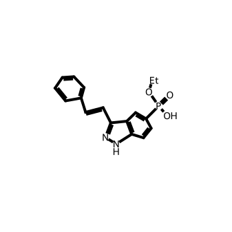 CCOP(=O)(O)c1ccc2[nH]nc(/C=C/c3ccccc3)c2c1